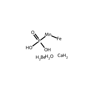 O.O=[P](O)(O)[Mn][Fe].[BeH2].[CaH2]